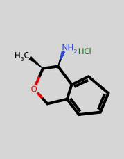 C[C@@H]1OCc2ccccc2[C@@H]1N.Cl